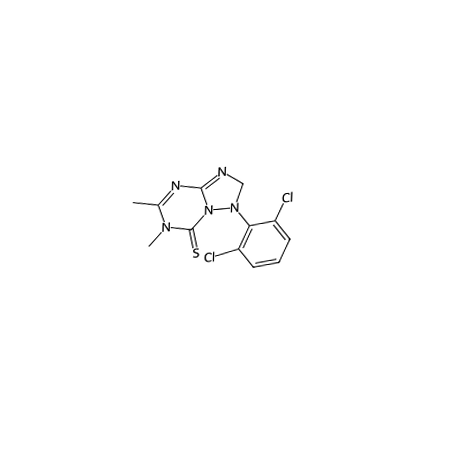 CC1=NC2=NCN(c3c(Cl)cccc3Cl)N2C(=S)N1C